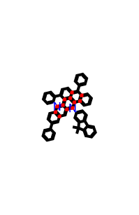 CC1(C)c2ccccc2-c2ccc(N(c3ccc(-c4ccccc4)cc3)c3ccccc3-c3ccccc3-c3ccccc3N(c3ccc(-c4ccccc4)cc3)c3ccc(-c4ccccc4)cc3)cc21